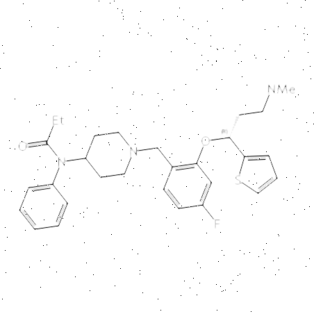 CCC(=O)N(c1ccccc1)C1CCN(Cc2ccc(F)cc2O[C@H](CCNC)c2cccs2)CC1